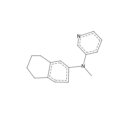 CN(c1cccnc1)c1ccc2c(c1)CCCC2